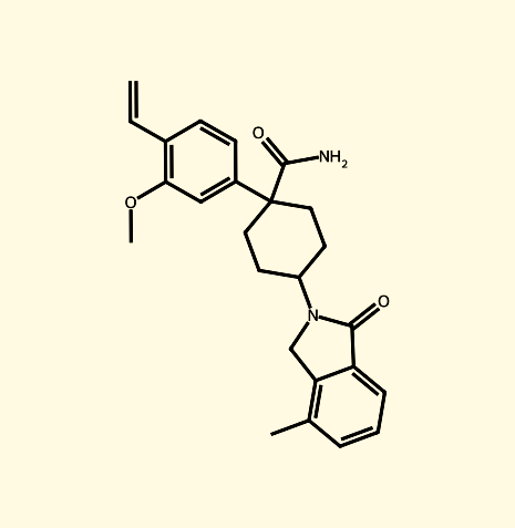 C=Cc1ccc(C2(C(N)=O)CCC(N3Cc4c(C)cccc4C3=O)CC2)cc1OC